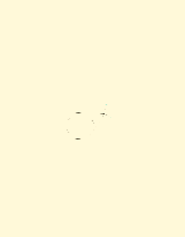 FC1(F)C2[CH]CCCC21